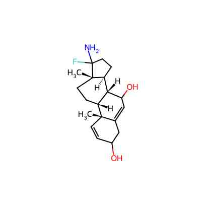 C[C@]12C=CC(O)CC1=CC(O)[C@@H]1[C@H]2CC[C@@]2(C)[C@H]1CCC2(N)F